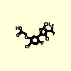 Cn1nc(-c2cc(OCC(=O)O)c(Cl)cc2F)c(Cl)c1C(F)F